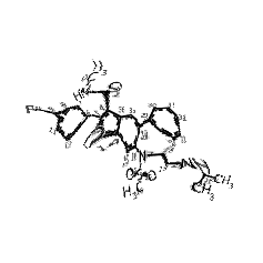 CNC(=O)c1c(-c2ccc(F)cc2)oc2cc(N(CCNC(C)C)S(C)(=O)=O)c(-c3ccccc3)cc12